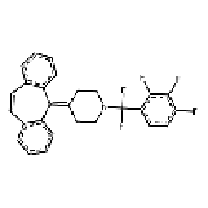 Fc1ccc(C(F)(F)N2CCC(=C3c4ccccc4C=Cc4ccccc43)CC2)c(F)c1F